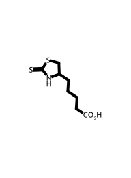 O=C(O)CCCCC1CSC(=S)N1